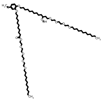 C=Nc1ccc(OCCCCCCCCCCC(CCOCCOCCOCCOCCCCCCCCCCCC)OO)c(OCCCCCCCCCCC(=O)OCCOCCOCCOCCOCCCCCCCCCCCC)c1